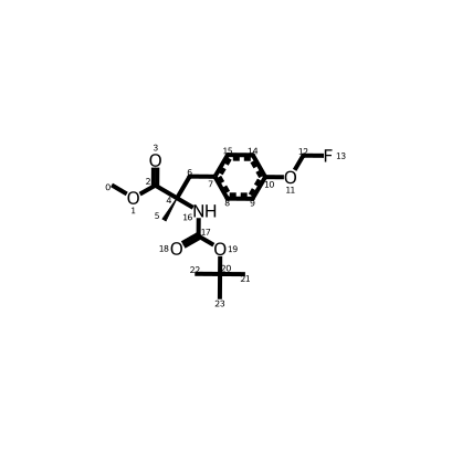 COC(=O)[C@](C)(Cc1ccc(OCF)cc1)NC(=O)OC(C)(C)C